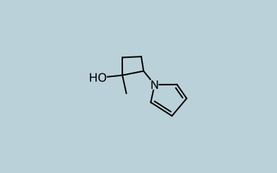 CC1(O)CCC1n1cccc1